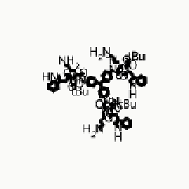 CC(C)(C)OC(=O)N(C(=O)Cc1c[nH]c2ccccc12)[C@@H](CCCCN)C(=O)Nc1ccc(C(c2ccc(NC(=O)[C@H](CCCCN)N(C(=O)Cc3c[nH]c4ccccc34)C(=O)OC(C)(C)C)cc2)c2ccc(NC(=O)[C@H](CCCCN)N(C(=O)Cc3c[nH]c4ccccc34)C(=O)OC(C)(C)C)cc2)cc1